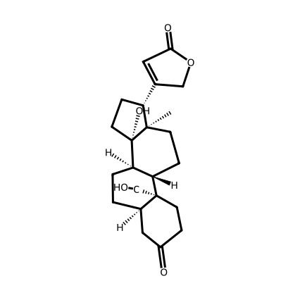 C[C@]12CC[C@H]3[C@@H](CC[C@@H]4CC(=O)CC[C@@]43CO)[C@@]1(O)CC[C@@H]2C1=CC(=O)OC1